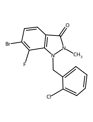 Cn1c(=O)c2ccc(Br)c(F)c2n1Cc1ccccc1Cl